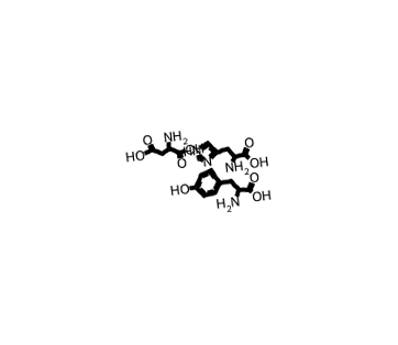 NC(CC(=O)O)C(=O)O.NC(Cc1c[nH]cn1)C(=O)O.NC(Cc1ccc(O)cc1)C(=O)O